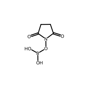 O=C1CCC(=O)N1OB(O)O